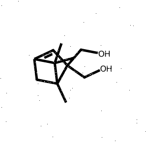 CC1(C)C2=CC(CO)(CO)C1(C)C2